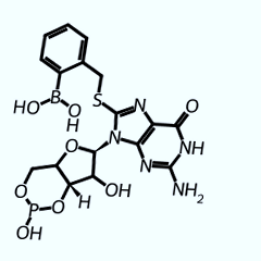 Nc1nc2c(nc(SCc3ccccc3B(O)O)n2[C@@H]2OC3COP(O)O[C@H]3C2O)c(=O)[nH]1